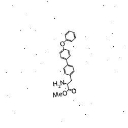 COC(=O)[C@@H](N)Cc1ccc(-c2ccc(Oc3ccccc3)cc2)cc1